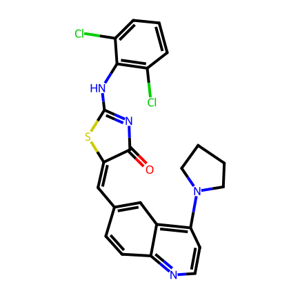 O=C1N=C(Nc2c(Cl)cccc2Cl)SC1=Cc1ccc2nccc(N3CCCC3)c2c1